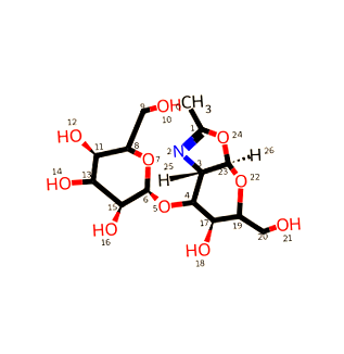 CC1=N[C@H]2C(O[C@@H]3OC(CO)[C@H](O)C(O)[C@@H]3O)[C@H](O)C(CO)O[C@@H]2O1